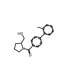 Cc1ccccc1-c1ccc(C(=O)N2CCCC2CO)cc1